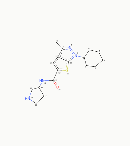 Cc1nn(C2CCCCC2)c2sc(C(=O)NC3CCNC3)cc12